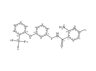 Cc1ccc(C(=O)NCc2cccc(Oc3ccccc3C(F)(F)F)c2)c(N)n1